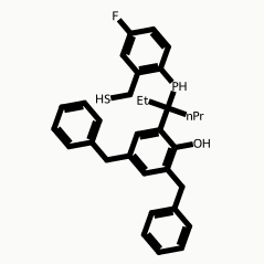 CCCC(CC)(Pc1ccc(F)cc1CS)c1cc(Cc2ccccc2)cc(Cc2ccccc2)c1O